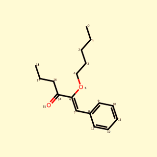 CCCCCOC(=Cc1ccccc1)C(=O)CCC